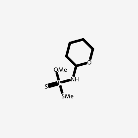 COP(=S)(NC1CCCCO1)SC